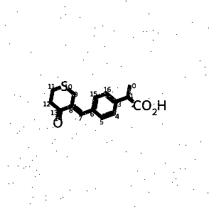 CC(C(=O)O)c1ccc(C=C2CSCCC2=O)cc1